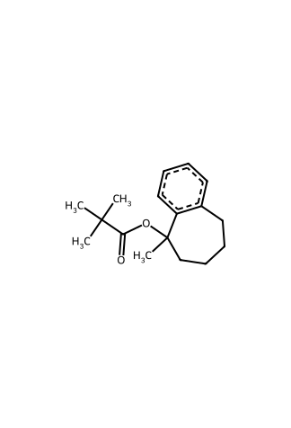 CC(C)(C)C(=O)OC1(C)CCCCc2ccccc21